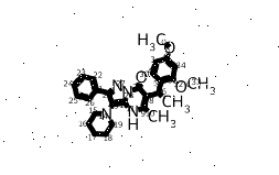 COc1ccc(C(C)c2c(C)[nH]c3c(N4CCCCC4)c(-c4ccccc4)nn3c2=O)c(OC)c1